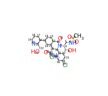 CS(=O)(=O)NC[C@@H](CO)N1C(=O)c2ccc(-c3cccnc3CO)cc2C(C(N)=O)C1c1ccc(Cl)cc1Cl